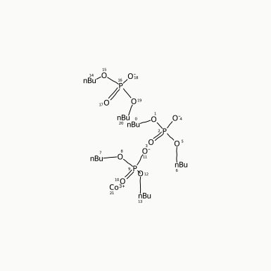 CCCCOP(=O)([O-])OCCCC.CCCCOP(=O)([O-])OCCCC.CCCCOP(=O)([O-])OCCCC.[Co+3]